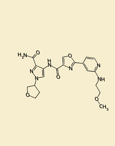 COCCNc1cc(-c2nc(C(=O)Nc3cn(C4CCOC4)nc3C(N)=O)co2)ccn1